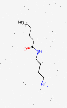 NCCCCNC(=O)CCCC(=O)O